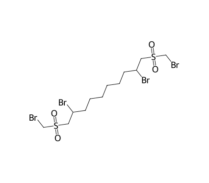 O=S(=O)(CBr)CC(Br)CCCCCCC(Br)CS(=O)(=O)CBr